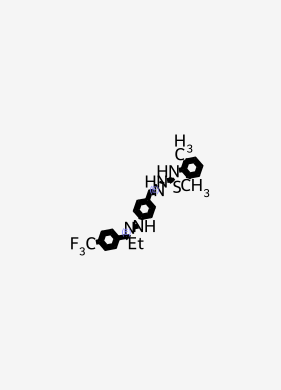 CC/C(=N\Nc1ccc(/C=N/NC(=S)Nc2c(C)cccc2C)cc1)c1ccc(C(F)(F)F)cc1